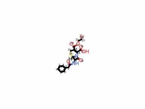 O=C(Cc1ccccc1)NC1C(=O)N2C(C(=O)O)=C(C(=O)OCCBr)CS[C@@H]12